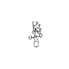 C=CC(F)(F)C(F)(F)S(=O)(=O)ON1C(=O)C2C3C=CC(C3)C2C1=O